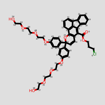 O=C(OCCCCl)c1c2c(c3cccc4c3c1-c1ccccc1-4)OC(c1ccc(OCCOCCOCCO)cc1)(c1ccc(OCCOCCOCCO)cc1)C=C2